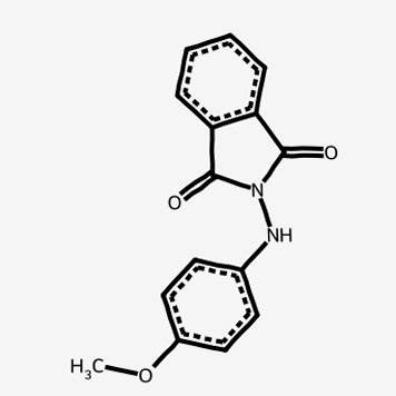 COc1ccc(NN2C(=O)c3ccccc3C2=O)cc1